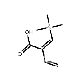 C=CC(=C[Si](C)(C)C)C(=O)O